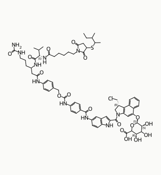 CCC(C)C(C)SC1CC(=O)N(CCCCCC(=O)N[C@H](C(=O)NC(CCCNC(N)=O)CC(=O)Nc2ccc(COC(=O)Nc3ccc(C(=O)Nc4ccc5[nH]c(C(=O)N6C[C@H](CCl)c7c6cc(O[C@@H]6OC(C(=O)O)[C@H](O)C(O)[C@@H]6O)c6ccccc76)cc5c4)cc3)cc2)C(C)C)C1=O